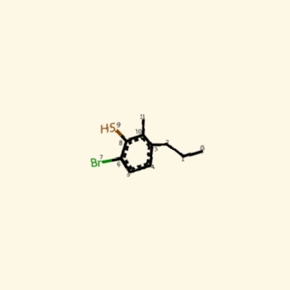 CCCc1ccc(Br)c(S)c1C